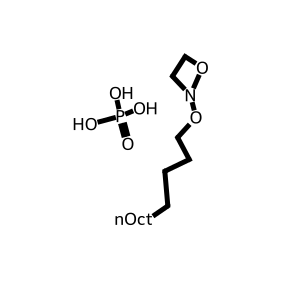 CCCCCCCCCCCCON1CCO1.O=P(O)(O)O